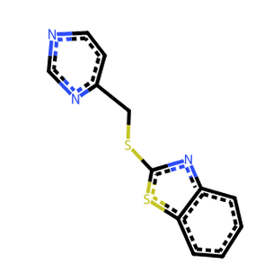 c1ccc2sc(SCc3ccncn3)nc2c1